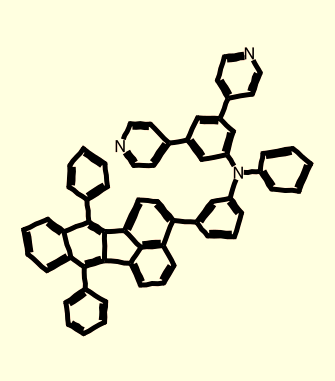 c1ccc(-c2c3c(c(-c4ccccc4)c4ccccc24)-c2ccc(-c4cccc(N(c5ccccc5)c5cc(-c6ccncc6)cc(-c6ccncc6)c5)c4)c4cccc-3c24)cc1